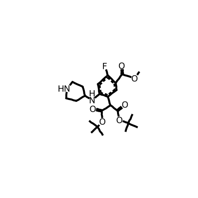 COC(=O)c1cc(C(C(=O)OC(C)(C)C)C(=O)OC(C)(C)C)c(NC2CCNCC2)cc1F